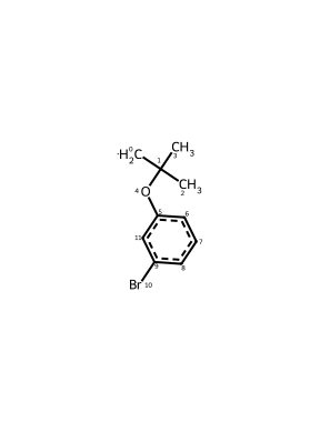 [CH2]C(C)(C)Oc1cccc(Br)c1